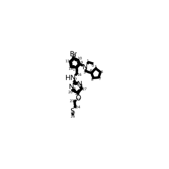 CCN(CC1CCCC1)c1cc(Br)ccc1CNc1ncc(OCCSC)cn1